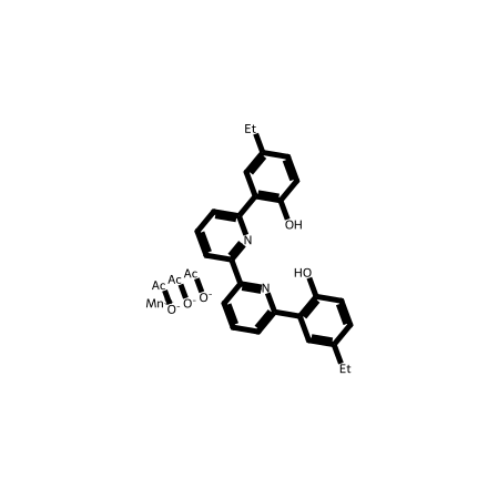 CC(=O)[O-].CC(=O)[O-].CC(=O)[O-].CCc1ccc(O)c(-c2cccc(-c3cccc(-c4cc(CC)ccc4O)n3)n2)c1.[Mn+3]